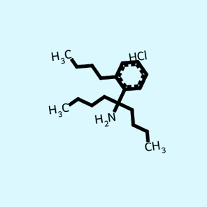 CCCCc1ccccc1C(N)(CCCC)CCCC.Cl